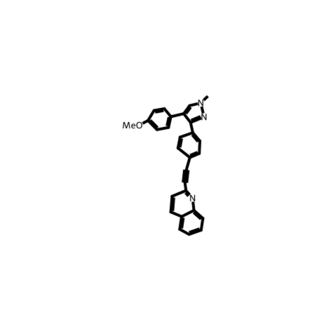 COc1ccc(-c2cn(C)nc2-c2ccc(C#Cc3ccc4ccccc4n3)cc2)cc1